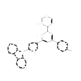 Fc1ccc(C2=CC(C3C=CNCN3)NC(c3ccc(-n4c5ccccc5c5ccncc54)nc3)=C2)cc1